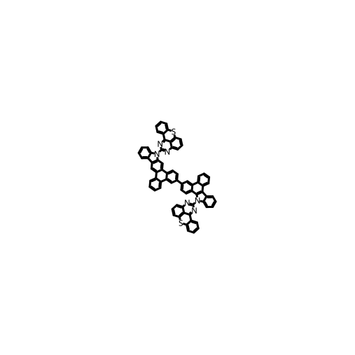 c1ccc2c(c1)Sc1cccc3nc(-n4c5ccccc5c5cc6c7ccccc7c7cc(-c8ccc9c(c8)c8ccccc8c8c%10ccccc%10n(-c%10nc%11c%12c(cccc%12n%10)Sc%10ccccc%10-%11)c98)ccc7c6cc54)nc-2c13